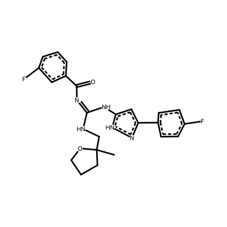 CC1(CN/C(=N/C(=O)c2cccc(F)c2)Nc2cc(-c3ccc(F)cc3)n[nH]2)CCCO1